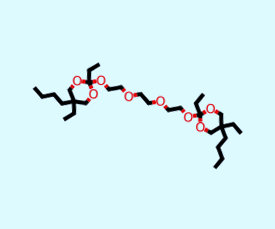 CCCCC1(CC)COC(CC)(OCCOCCOCCOC2(CC)OCC(CC)(CCCC)CO2)OC1